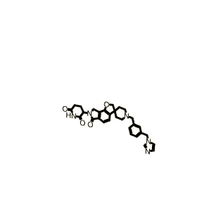 O=C1CCC(N2Cc3c(ccc4c3OCC43CCN(Cc4cccc(Cn5ccnc5)c4)CC3)C2=O)C(=O)N1